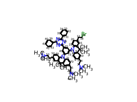 CN(C)CCc1ccc2c(c1)C(C)(C)c1cc(CCBr)ccc1N2c1cc(-c2nc(-c3ccccc3)nc(-c3ccccc3)n2)cc(N2c3ccc(CCN(C)C)cc3C(C)(C)c3cc(CCN(C)C)ccc32)c1